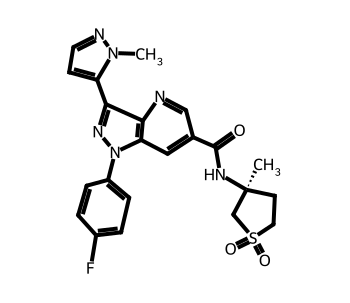 Cn1nccc1-c1nn(-c2ccc(F)cc2)c2cc(C(=O)N[C@@]3(C)CCS(=O)(=O)C3)cnc12